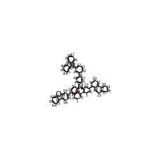 c1ccc(-c2ccc(-c3cccc4c3ccc3ccccc34)cc2N(c2ccc(-c3cccc(-n4c5ccccc5c5ccccc54)c3)cc2)c2ccc(-c3ccc4c(c3)oc3ccccc34)cc2)cc1